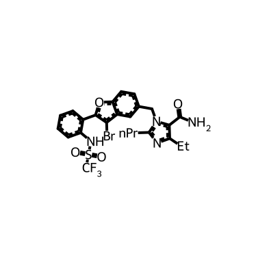 CCCc1nc(CC)c(C(N)=O)n1Cc1ccc2oc(-c3ccccc3NS(=O)(=O)C(F)(F)F)c(Br)c2c1